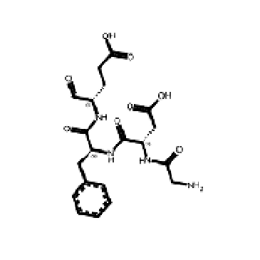 NCC(=O)N[C@@H](CC(=O)O)C(=O)N[C@@H](Cc1ccccc1)C(=O)N[C@H]([C]=O)CCC(=O)O